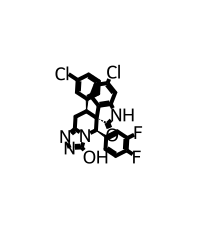 O=C1Nc2cc(Cl)ccc2[C@@]12[C@H](c1cccc(Cl)c1)Cc1nnc(O)n1[C@@H]2c1ccc(F)c(F)c1